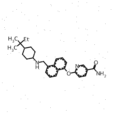 CCC(C)(C)C1CCC(NCc2cccc3c(Oc4ccc(C(N)=O)cn4)cccc23)CC1